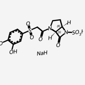 O=C(CS(=O)(=O)c1ccc(O)c(O)c1)N1CC[C@@H]2[C@H]1C(=O)N2S(=O)(=O)O.[NaH]